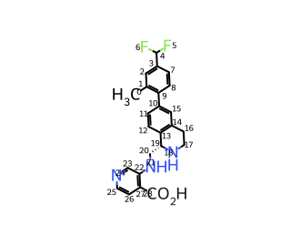 Cc1cc(C(F)F)ccc1-c1ccc2c(c1)CCN[C@@H]2CNc1cnccc1C(=O)O